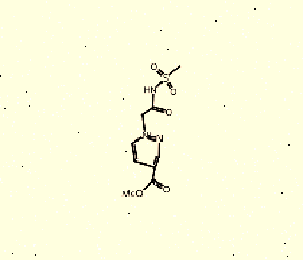 COC(=O)c1cc[n+](CC(=O)NS(C)(=O)=O)nc1